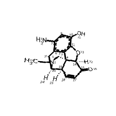 CN1CC[C@]23c4c5c(N)cc(O)c4O[C@H]2C(=O)C=C[C@H]3[C@H]1C5